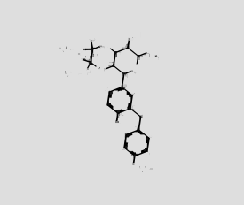 COc1ccc(Cc2cc(C3OC(OC(=O)O)C(O)C4OC(C)(OC)C(C)(OC)OC34)ccc2Cl)cc1